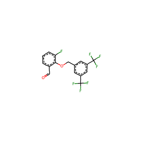 O=Cc1cccc(F)c1OCc1cc(C(F)(F)F)cc(C(F)(F)F)c1